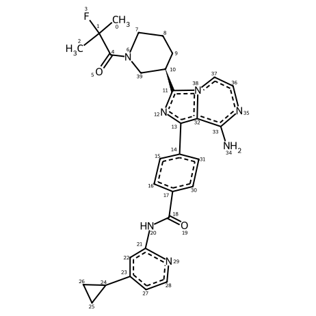 CC(C)(F)C(=O)N1CCC[C@@H](c2nc(-c3ccc(C(=O)Nc4cc(C5CC5)ccn4)cc3)c3c(N)nccn23)C1